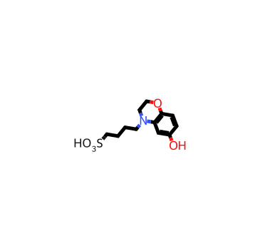 O=S(=O)(O)CCCCN1CCOc2ccc(O)cc21